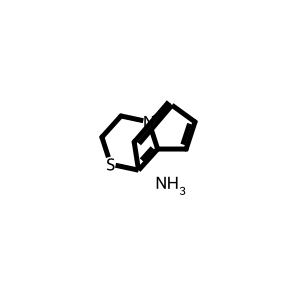 N.c1cc2c3cc1n2CCS3